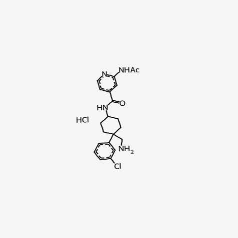 CC(=O)Nc1cc(C(=O)NC2CCC(CN)(c3cccc(Cl)c3)CC2)ccn1.Cl